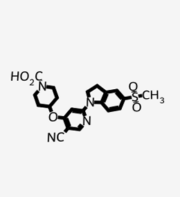 CS(=O)(=O)c1ccc2c(c1)CCN2c1cc(OC2CCN(C(=O)O)CC2)c(C#N)cn1